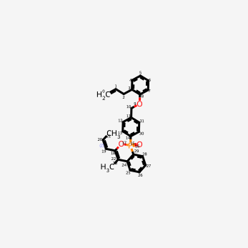 C=CCc1ccccc1OCc1ccc(P2(=O)OC(/C=C\C)=C(C)c3ccccc32)cc1